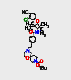 CC(C)(C)OC(=O)N1CCC2(CC1)CN(CCc1ccc(C(=O)N[C@H]3C(C)(C)[C@H](Oc4ccc(C#N)c(Cl)c4)C3(C)C)cc1)CCO2